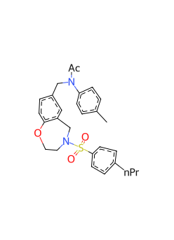 CCCc1ccc(S(=O)(=O)N2CCOc3ccc(CN(C(C)=O)c4ccc(C)cc4)cc3C2)cc1